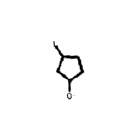 [O]C1CCC(I)C1